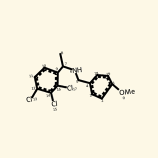 COc1ccc(CNC(C)c2ccc(Cl)c(Cl)c2Cl)cc1